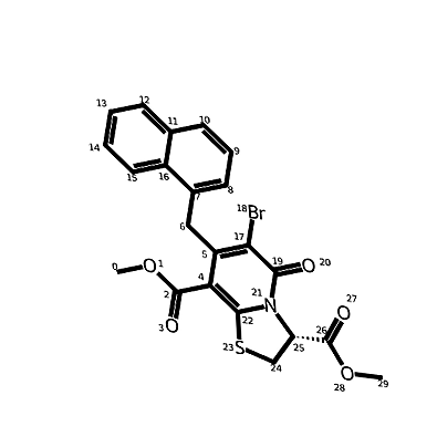 COC(=O)c1c(Cc2cccc3ccccc23)c(Br)c(=O)n2c1SC[C@H]2C(=O)OC